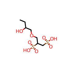 CCC(O)COCC(CS(=O)(=O)O)S(=O)(=O)O